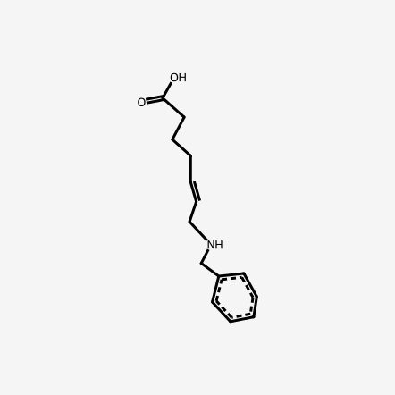 O=C(O)CCC/C=C/CNCc1ccccc1